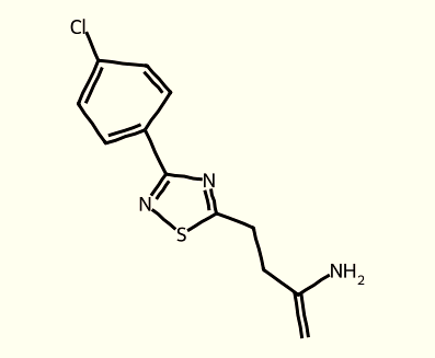 C=C(N)CCc1nc(-c2ccc(Cl)cc2)ns1